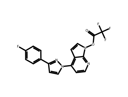 O=C(On1ccc2c(-n3ccc(-c4ccc(F)cc4)n3)ccnc21)C(F)(F)F